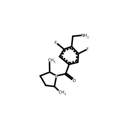 CC1CCC(C)N1C(=O)c1cc(F)c(CN)c(F)c1